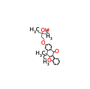 CCC(O)(CC)CCOc1ccc2c(c1)C(C)(C)c1oc3ccccc3c1C2=O